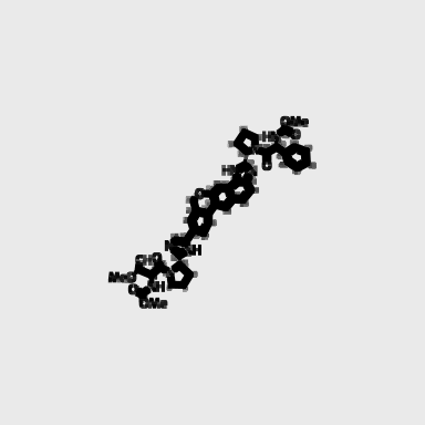 COC(=O)N[C@H](C(=O)N1CCC[C@H]1c1ncc(-c2ccc3c(c2)COc2cc4c(ccc5nc([C@@H]6CCCN6C(=O)[C@H](NC(=O)OC)c6ccccc6)[nH]c54)cc2-3)[nH]1)[C@@H](C)OC